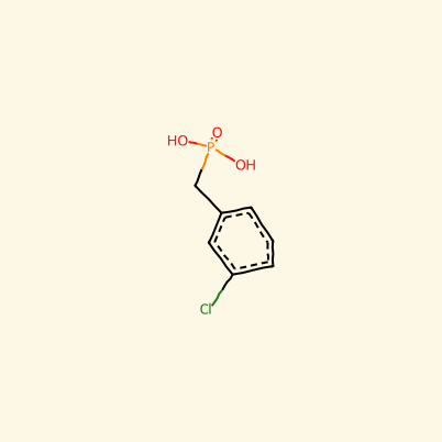 O=P(O)(O)Cc1cccc(Cl)c1